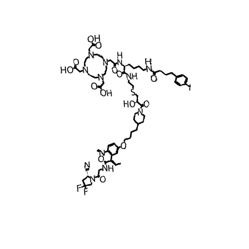 C=Nc1ccc(OCCCCC2CCN(C(=O)[C@H](O)CSCCNC(=O)[C@H](CCCCNC(=O)CCCc3ccc(I)cc3)NC(=O)CN3CCN(CC(=O)O)CCN(CC(=O)O)CCN(CC(=O)O)CC3)CC2)cc1/C(=C\C)C(=O)NCC(=O)N1CC(F)(F)C[C@@H]1C#N